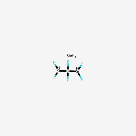 F[SiH](F)[Si](F)(F)[SiH](F)F.[GeH4]